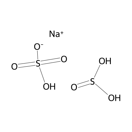 O=S(=O)([O-])O.O=S(O)O.[Na+]